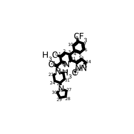 Cc1cc(-c2cccc(C(F)(F)F)c2)c(-c2ccnn2C)nc1C(=O)N1CCC(N2CCCC2)CC1